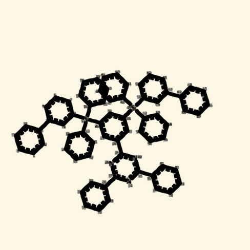 c1ccc(-c2cccc([Si](c3ccccc3)(c3ccccc3)c3cc(-c4nc(-c5ccccc5)nc(-c5ccccc5)n4)cc([Si](c4ccccc4)(c4ccccc4)c4cccc(-c5ccccc5)c4)c3)c2)cc1